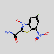 NC(=O)c1sc2c([N+](=O)[O-])cc(F)cc2[n+]1[O-]